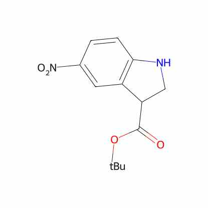 CC(C)(C)OC(=O)C1CNc2ccc([N+](=O)[O-])cc21